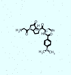 CC(C)C[C@H](NC(=O)c1ccc(N(C)C)cc1)C(=O)N1CCC2[C@H]1C(=O)CN2C(=O)CN